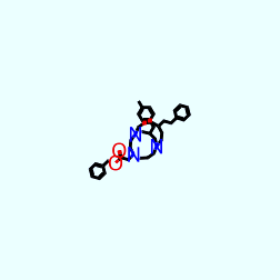 Cc1ccc(CC2CN3CCCN(CC(=O)OCc4ccccc4)CCN(CCCC(CCc4ccccc4)CC3)C2)cc1